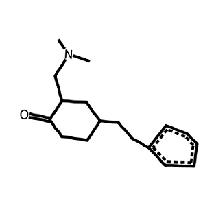 CN(C)CC1CC(CCc2ccccc2)CCC1=O